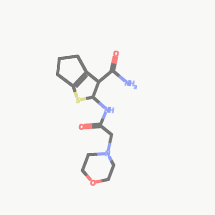 NC(=O)C1C2=C(CCC2)SC1NC(=O)CN1CCOCC1